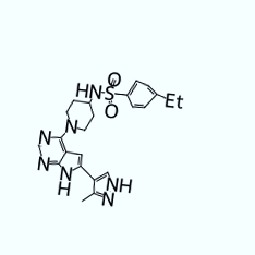 CCc1ccc(S(=O)(=O)NC2CCN(c3ncnc4[nH]c(-c5c[nH]nc5C)cc34)CC2)cc1